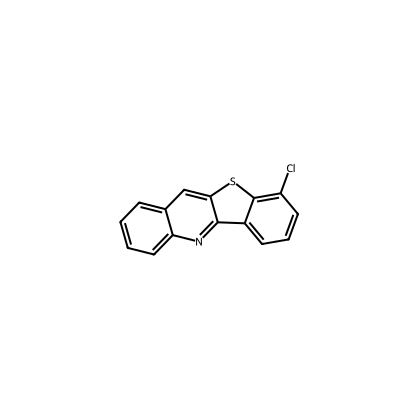 Clc1cccc2c1sc1cc3ccccc3nc12